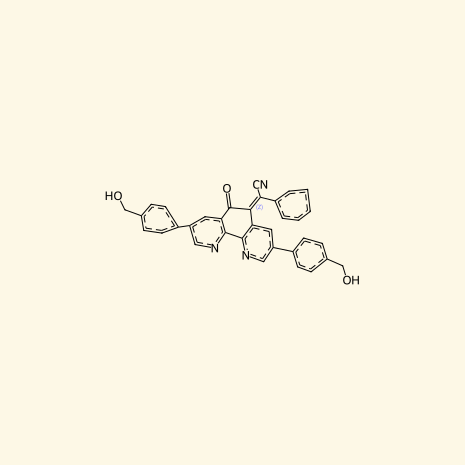 N#C/C(=C1\C(=O)c2cc(-c3ccc(CO)cc3)cnc2-c2ncc(-c3ccc(CO)cc3)cc21)c1ccccc1